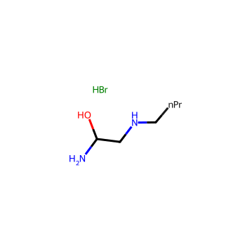 Br.CCCCNCC(N)O